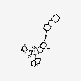 O=C(Nc1nccs1)C(c1ncn2c1CCC2)N1Cc2c(F)cc(C#Cc3ccc(CN4CCCCC4)cc3)cc2C1=O